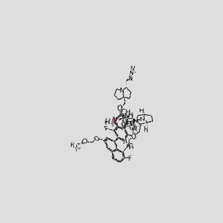 C#Cc1c(F)ccc2cc(OCOC)cc(-c3nc4c5c(nc(OC[C@@]67CCCN6[C@H](CN=[N+]=[N-])CC7)nc5c3F)N3C[C@H]5CC[C@@H]([C@H]3CO4)N5C(=O)OC(C)(C)C)c12